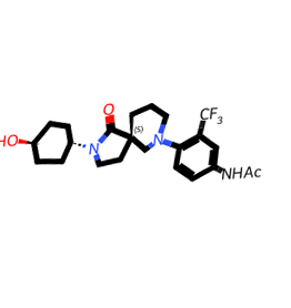 CC(=O)Nc1ccc(N2CCC[C@]3(CCN([C@H]4CC[C@H](O)CC4)C3=O)C2)c(C(F)(F)F)c1